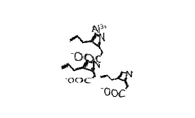 C=CCC1=CN=C1CC(=O)[O-].C=CCC1=CN=C1CC(=O)[O-].C=CCC1=CN=C1CC(=O)[O-].[Al+3]